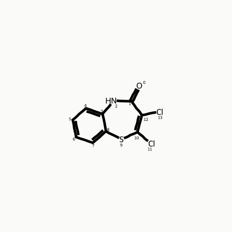 O=C1Nc2ccccc2SC(Cl)=C1Cl